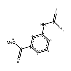 [3H]C(=O)Nc1cccc(C(=O)OC)c1